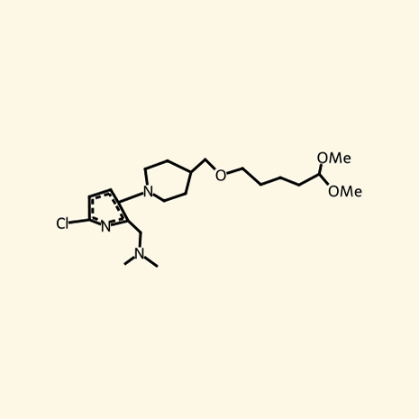 COC(CCCCOCC1CCN(c2ccc(Cl)nc2CN(C)C)CC1)OC